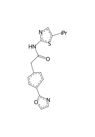 CC(C)c1cnc(NC(=O)Cc2ccc(-c3ncco3)cc2)s1